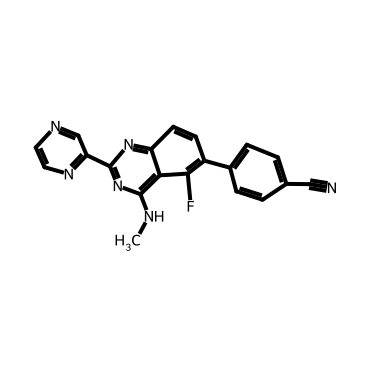 CNc1nc(-c2cnccn2)nc2ccc(-c3ccc(C#N)cc3)c(F)c12